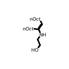 CCCCCCCC/C=C(\CCCCCCCC)NCCO